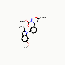 COC(=O)C[C@@H](NC(=O)OC(C)(C)C)c1cccc(-n2c(C(=O)O)cc3ccc(OC(F)(F)F)cc32)c1